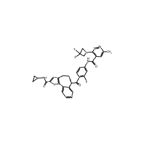 Cc1cc(C(=O)Nc2ccc(C(=O)C3CCc4cc(C(=O)NC5CC5)sc4-c4ccccc43)c(F)c2)c(N2CC(F)(F)C2)nn1